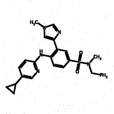 CN(CP)S(=O)(=O)c1ccc(Nc2ccc(C3CC3)cn2)c(-c2cn(C)cn2)c1